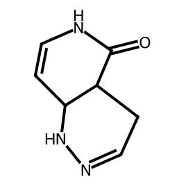 O=C1NC=CC2NN=CCC12